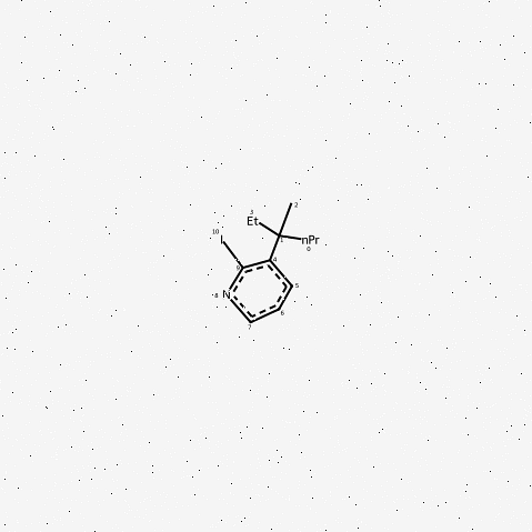 CCCC(C)(CC)c1cccnc1I